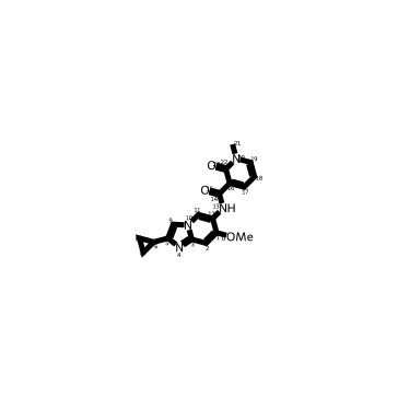 COc1cc2nc(C3CC3)cn2cc1NC(=O)c1cccn(C)c1=O